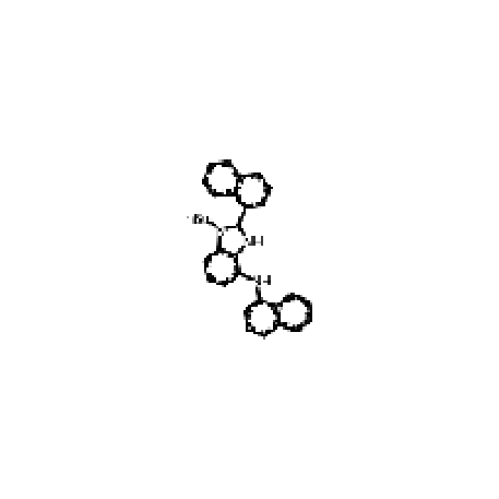 CCCCN1c2cccc(Nc3cccc4ccccc34)c2NC1c1cccc2ccccc12